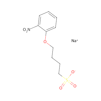 O=[N+]([O-])c1ccccc1OCCCCS(=O)(=O)[O-].[Na+]